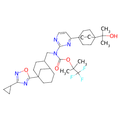 CC(C)(O)C12CCC(c3ccnc(N(CC4CCC5(c6nc(C7CC7)no6)CCCC4C5)C(=O)OC(C)(C)C(F)(F)F)n3)(CC1)CC2